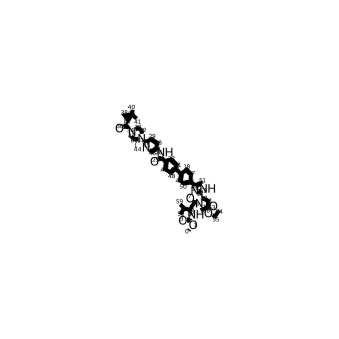 COC(=O)N[C@H](C(=O)N1CC2(C[C@H]1c1nc(-c3ccc(-c4ccc(C(=O)Nc5ccc(N6CCN(C(=O)[C@H]7CC7(C)C)C[C@H]6C)nc5)cc4)cc3)c[nH]1)OCCO2)C(C)C